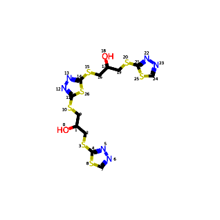 OC(CSc1nncs1)CSc1nnc(SCC(O)CSc2nncs2)s1